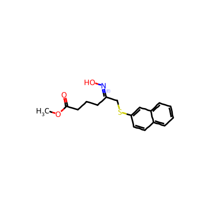 COC(=O)CCC/C(CSc1ccc2ccccc2c1)=N\O